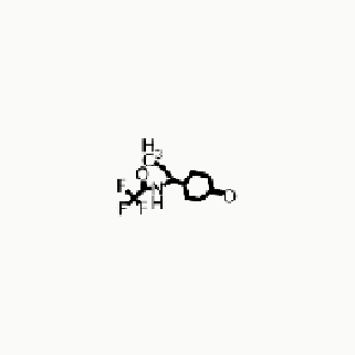 CCC(NC(=O)C(F)(F)F)C1CCC(=O)CC1